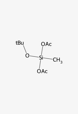 CC(=O)O[Si](C)(OC(C)=O)OC(C)(C)C